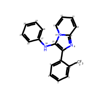 FC(F)(F)c1ccccc1-c1nc2ccccn2c1Nc1ccccc1